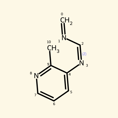 C=N/C=N\c1cccnc1C